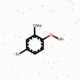 CCCOc1ccc(CC)cc1OC